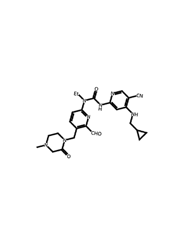 CCN(C(=O)Nc1cc(NCC2CC2)c(C#N)cn1)c1ccc(CN2CCN(C)CC2=O)c(C=O)n1